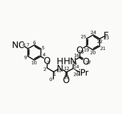 CC(COc1ccc(C#N)cc1)NC(=O)[C@@H](NC(=O)Oc1ccc(F)cc1)C(C)C